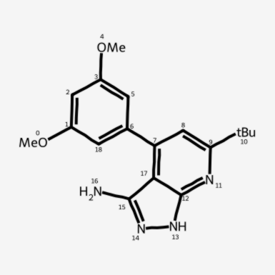 COc1cc(OC)cc(-c2cc(C(C)(C)C)nc3[nH]nc(N)c23)c1